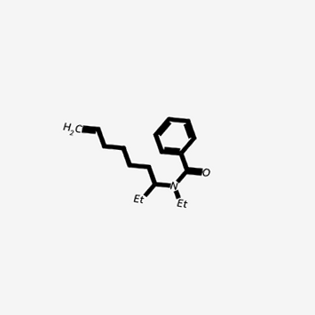 C=CCCCCC(CC)N(CC)C(=O)c1ccccc1